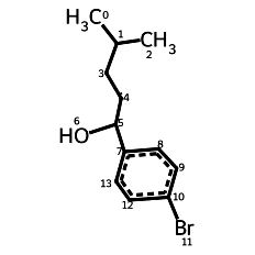 CC(C)C[CH]C(O)c1ccc(Br)cc1